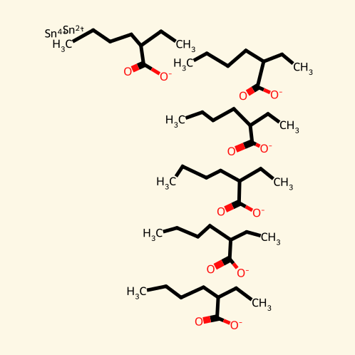 CCCCC(CC)C(=O)[O-].CCCCC(CC)C(=O)[O-].CCCCC(CC)C(=O)[O-].CCCCC(CC)C(=O)[O-].CCCCC(CC)C(=O)[O-].CCCCC(CC)C(=O)[O-].[Sn+2].[Sn+4]